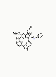 COc1cc(NCCO)c(NC(=O)/C=C/CN2CCCC2)cc1Nc1nccc(-c2cn(C)c3ccccc23)n1